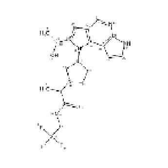 CC(C(=O)NCC(F)(F)F)N1CC[C@H](n2c([C@@H](C)O)nc3cnc4[nH]ccc4c32)C1